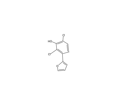 Oc1c(Cl)c[c]c(-c2ccco2)c1Cl